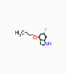 CCCCOc1cc(F)cc2[nH]ccc12